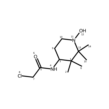 CC1(C)C(NC(=O)CCl)CCN(O)C1(C)C